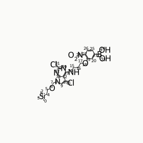 C[Si](C)(C)CCOCn1cc(Cl)c2c(NCCCOc3cc(B(O)O)ccc3[N+](=O)[O-])nc(Cl)nc21